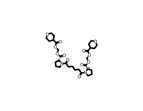 O=C(OCOC(=O)[C@H]1CCCN1C(=O)CCCCC(=O)N1CCC[C@@H]1C(=O)OCOC(=O)C1CCOCC1)C1CCOCC1